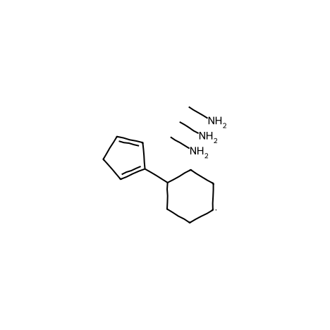 CN.CN.CN.[CH]1CCC(C2=CCC=C2)CC1